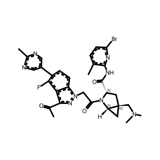 CC(=O)c1nn(CC(=O)N2[C@H]3C[C@@]3(CN(C)C)C[C@H]2C(=O)Nc2nc(Br)ccc2C)c2ccc(-c3cnc(C)nc3)c(F)c12